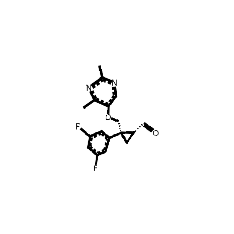 Cc1ncc(OC[C@@]2(c3cc(F)cc(F)c3)C[C@H]2C=O)c(C)n1